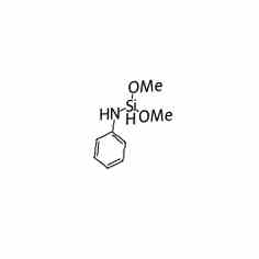 CO[SiH](Nc1ccccc1)OC